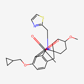 COC1CCC2(CC1)Cc1ccc(OCC3CC3)cc1C21NC(=O)N(Cc2nccs2)C1=O